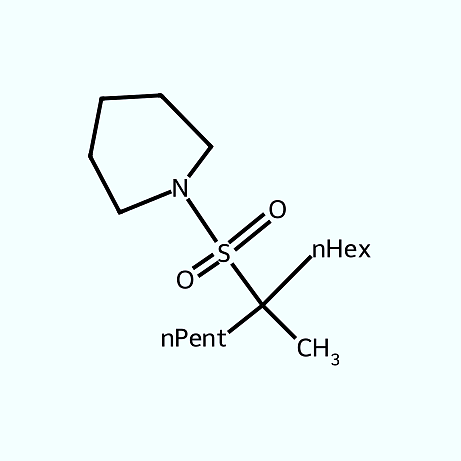 CCCCCCC(C)(CCCCC)S(=O)(=O)N1CCCCC1